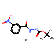 CC(C)(C)OC(=O)NNC(=O)c1cccc([N+](=O)[O-])c1.[NaH]